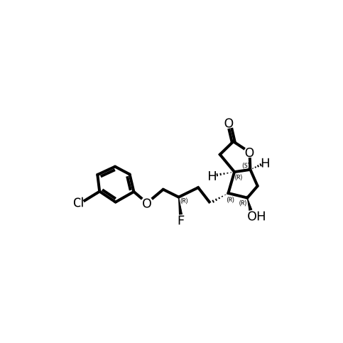 O=C1C[C@@H]2[C@@H](CC[C@@H](F)COc3cccc(Cl)c3)[C@H](O)C[C@@H]2O1